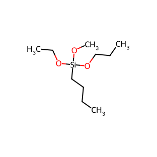 CCCC[Si](OC)(OCC)OCCC